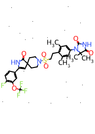 Cc1cc(N2C(=O)NC(=O)C2(C)C)cc(C)c1CCS(=O)(=O)N1CCC2(C=C(c3ccc(F)c(OC(F)(F)F)c3)NC2=O)CC1